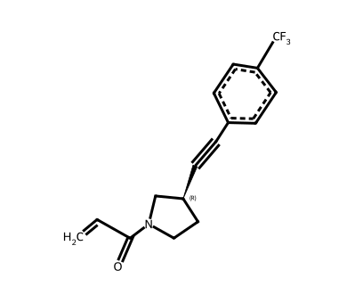 C=CC(=O)N1CC[C@H](C#Cc2ccc(C(F)(F)F)cc2)C1